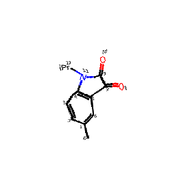 Cc1ccc2c(c1)C(=O)C(=O)N2C(C)C